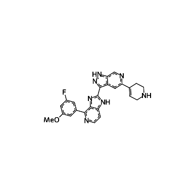 COc1cc(F)cc(-c2nccc3[nH]c(-c4n[nH]c5cnc(C6=CCNCC6)cc45)nc23)c1